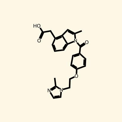 Cc1nccn1CCOc1ccc(C(=O)n2c(C)cc3c(CC(=O)O)cccc32)cc1